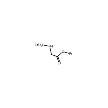 CCOC(=O)NCC(=O)OC(C)C